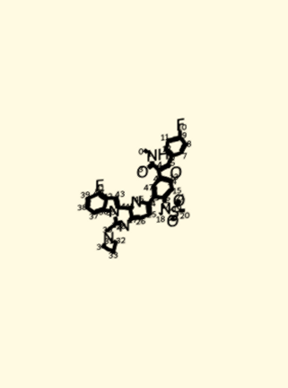 CNC(=O)c1c(-c2ccc(F)cc2)oc2cc(N(C)S(C)(=O)=O)c(-c3ccc4nc(CN5CCC5)n5c6cccc(F)c6cc5c4n3)cc12